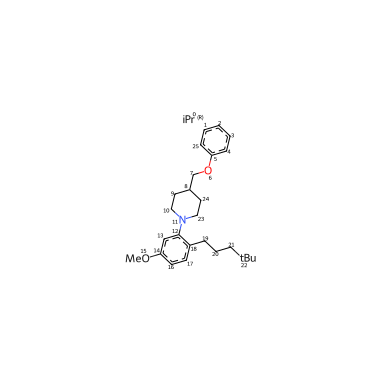 [CH2][C@H](C)c1cccc(OCC2CCN(c3cc(OC)ccc3CCCC(C)(C)C)CC2)c1